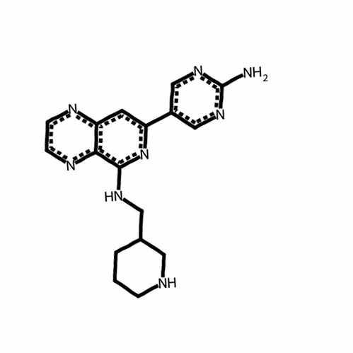 Nc1ncc(-c2cc3nccnc3c(NCC3CCCNC3)n2)cn1